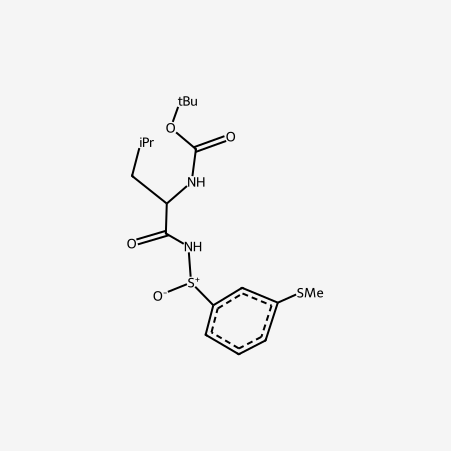 CSc1cccc([S+]([O-])NC(=O)C(CC(C)C)NC(=O)OC(C)(C)C)c1